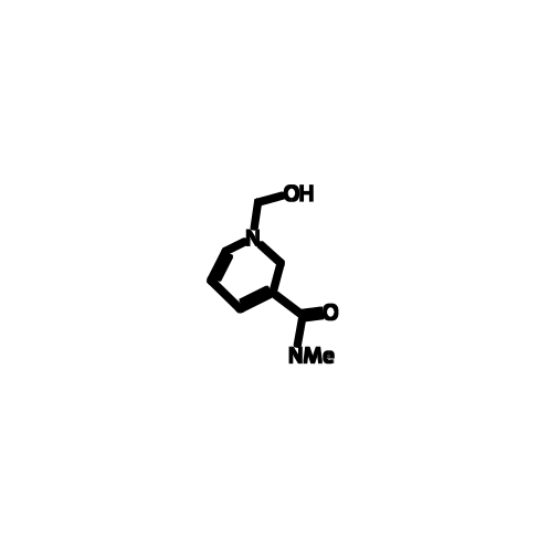 CNC(=O)C1=CC=CN(CO)C1